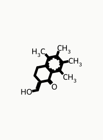 Cc1c(C)c(C)c2c(c1C)CCC(=CO)C2=O